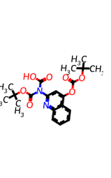 CC(C)(C)OC(=O)Oc1cc(N(C(=O)O)C(=O)OC(C)(C)C)nc2ccccc12